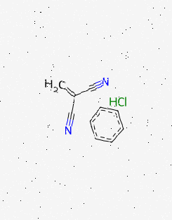 C=C(C#N)C#N.Cl.c1ccccc1